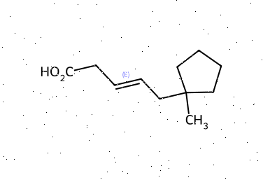 CC1(C/C=C/CC(=O)O)CCCC1